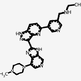 CCNCc1cncc(-c2ccc3[nH]nc(-c4nc5c(N6CCN(C)CC6)cncc5[nH]4)c3n2)c1